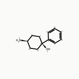 N[C@H]1CC[C@](O)(c2ccccc2)CC1